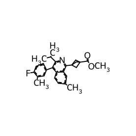 COC(=O)C12CC(c3nc(C(C)C)c(-c4ccc(F)c(C)c4)c4ccc(C)cc34)(C1)C2